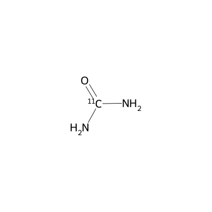 N[11C](N)=O